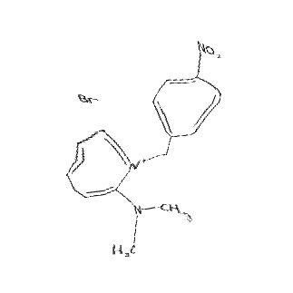 CN(C)c1cccc[n+]1Cc1ccc([N+](=O)[O-])cc1.[Br-]